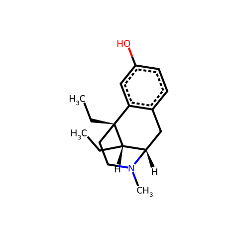 CC[C@H]1[C@@H]2Cc3ccc(O)cc3[C@@]1(CC)CCN2C